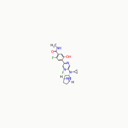 CNC(=O)c1cc(O)c(-c2cnc(N(C3CC3)[C@@H]3C[C@H]4CC[C@H](N4)[C@@H]3F)cn2)cc1F